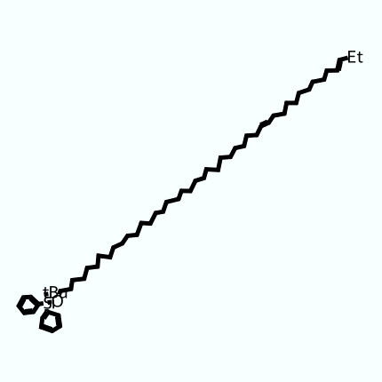 CCC=CCCCCCCCCCC=CCCCCCCCCCCCCCCCCCCCCCCCCCCCCCCO[Si](c1ccccc1)(c1ccccc1)C(C)(C)C